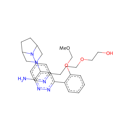 COCOc1ccccc1-c1cc(N2CC3CCC(C2)N3c2ccnc(CCCOCCO)c2)c(N)nn1